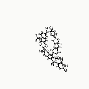 CNC(=O)COc1cc2cc(Nc3nc(N4CCC(CN5CCC(c6cccc7c6C(O)N(C6CCC(=O)NC6=O)C7=O)CC5)CC4)ncc3Cl)ccc2n(C(C)C)c1=O